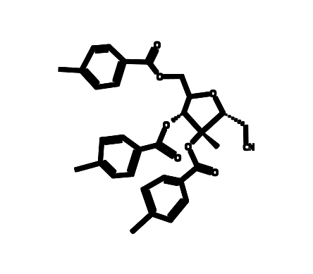 Cc1ccc(C(=O)OCC2O[C@H](CC#N)[C@](C)(OC(=O)c3ccc(C)cc3)[C@@H]2OC(=O)c2ccc(C)cc2)cc1